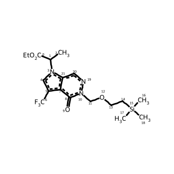 CCOC(=O)C(C)n1cc(C(F)(F)F)c2c(=O)n(COCC[Si](C)(C)C)ncc21